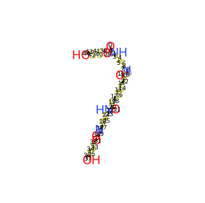 O=C(NCSCSC/N=C\[S+]([O-])CCSCSCCSC(=O)NCSCSC/N=C/OOCSCSCO)OCSCSCO